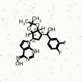 CC1(C)O[C@@H]2[C@H](O1)[C@@H](C(O)c1ccc(F)c(F)c1)C[C@H]2n1ccc2c(=NO)nc[nH]c21